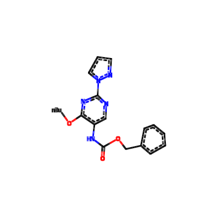 CCCCOc1nc(-n2cccn2)ncc1NC(=O)OCc1ccccc1